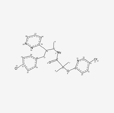 CC(NC(=O)C(C)(C)Oc1ccc(C(F)(F)F)cn1)C(Cc1ccc(Cl)cc1)c1cccnn1